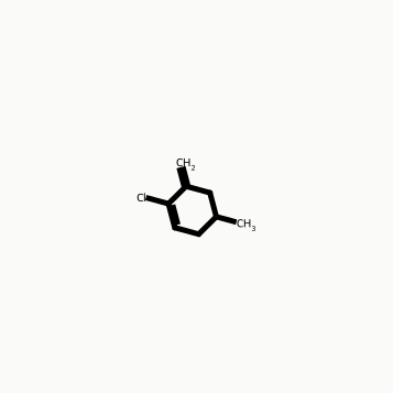 C=C1CC(C)CC=C1Cl